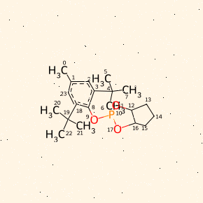 Cc1cc(C(C)(C)C)c(OP2OC3CCCC3O2)c(C(C)(C)C)c1